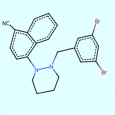 N#Cc1ccc(N2CCCCN2Cc2cc(Br)cc(Br)c2)c2ccccc12